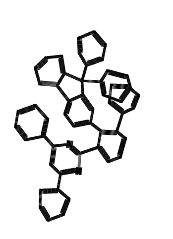 c1ccc(-c2cc(-c3ccccc3)nc(-c3cccc(-c4ccccc4)c3-c3ccc4c(c3)C(c3ccccc3)(c3ccccc3)c3ccccc3-4)n2)cc1